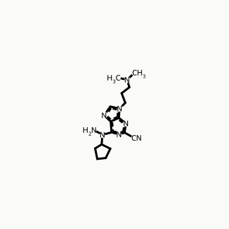 CN(C)CCCn1cnc2c(N(N)C3CCCC3)nc(C#N)nc21